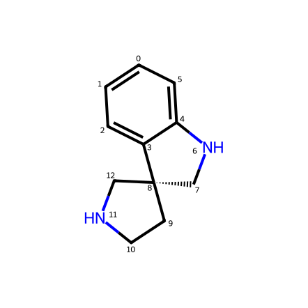 c1ccc2c(c1)NC[C@@]21CCNC1